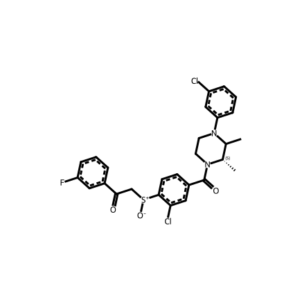 CC1[C@H](C)N(C(=O)c2ccc([S+]([O-])CC(=O)c3cccc(F)c3)c(Cl)c2)CCN1c1cccc(Cl)c1